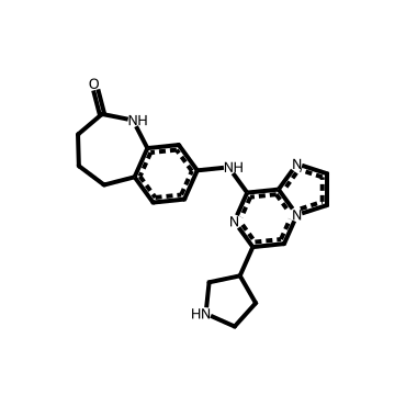 O=C1CCCc2ccc(Nc3nc(C4CCNC4)cn4ccnc34)cc2N1